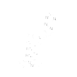 Cc1ccc(-n2nc(C(C)(C)C)cc2NC(=O)Nc2ccc(OCc3ccnc(Nc4cnccn4)c3)c3ccccc23)s1